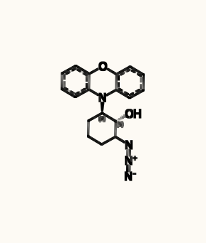 [N-]=[N+]=NC1CCC[C@@H](N2c3ccccc3Oc3ccccc32)[C@@H]1O